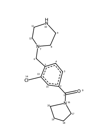 O=C(c1ccc(CN2CCNCC2)c(Cl)c1)N1CCCC1